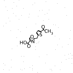 CC(=O)c1ccc(Cc2nc(C(=O)O)co2)s1